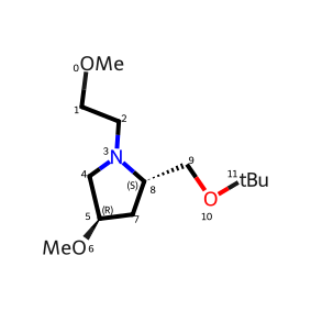 COCCN1C[C@H](OC)C[C@H]1COC(C)(C)C